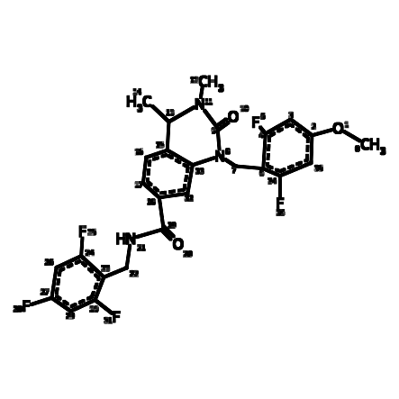 COc1cc(F)c(CN2C(=O)N(C)C(C)c3ccc(C(=O)NCc4c(F)cc(F)cc4F)cc32)c(F)c1